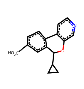 O=C(O)c1ccc2c(c1)C(C1CC1)Oc1cnccc1-2